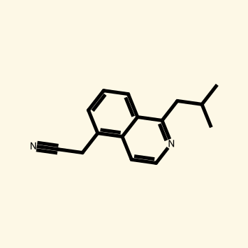 CC(C)Cc1nccc2c(CC#N)cccc12